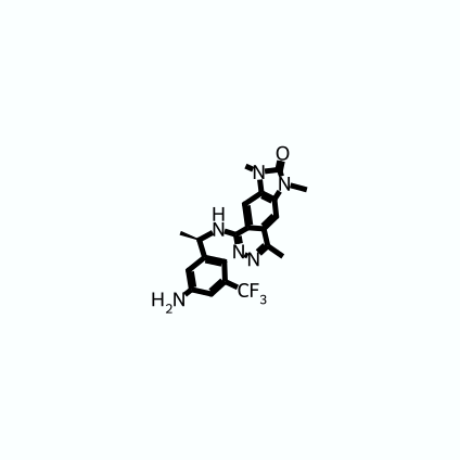 Cc1nnc(N[C@H](C)c2cc(N)cc(C(F)(F)F)c2)c2cc3c(cc12)n(C)c(=O)n3C